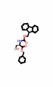 O=C(N[C@H](CO)C(=O)OCc1ccccc1)OCC1c2ccccc2-c2ccccc21